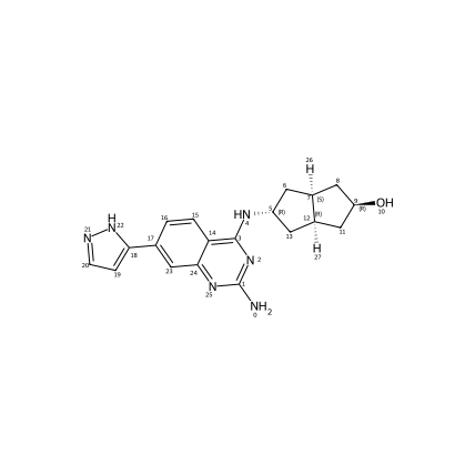 Nc1nc(N[C@@H]2C[C@H]3C[C@@H](O)C[C@H]3C2)c2ccc(-c3ccn[nH]3)cc2n1